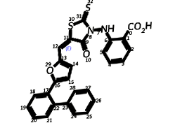 O=C(O)c1ccccc1NN1C(=O)/C(=C\c2ccc(-c3ccccc3-c3ccccc3)o2)SC1=S